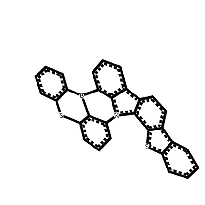 c1ccc2c(c1)Sc1cccc3c1B2c1cccc2c4ccc5c6ccccc6sc5c4n-3c12